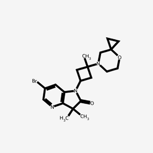 CC1(C)C(=O)N(C2CC(C)(N3CCOC4(CC4)C3)C2)c2cc(Br)cnc21